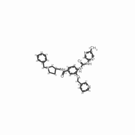 Cc1cnc(NC(=O)Nc2ccc(C(=O)NC3CCN(Cc4ccccc4)C3)cc2OCc2cccnc2)cn1